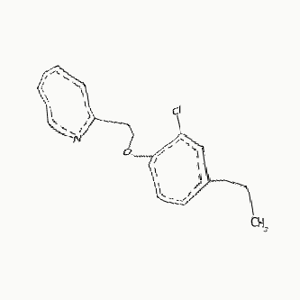 CCc1ccc(OCc2ccccn2)c(Cl)c1